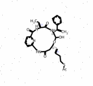 C=C(c1ccccc1)[C@@H]1NC(=O)/C(=C/C)NC(=O)c2cccc(n2)CNC(=O)C[C@@H](/C=C/CCSC(C)=O)OC1O